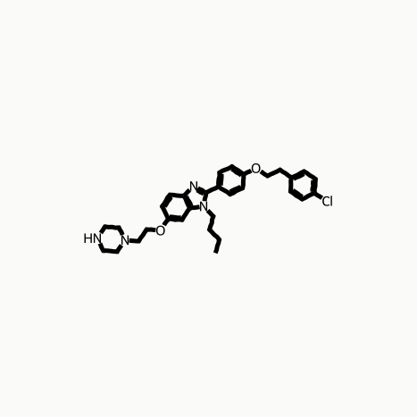 CCCCn1c(-c2ccc(OCCc3ccc(Cl)cc3)cc2)nc2ccc(OCCN3CCNCC3)cc21